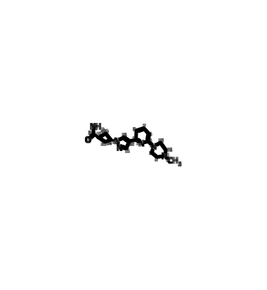 CN1CCN(c2cccc(-c3cnn([C@H]4C[C@H](C(N)=O)C4)c3)n2)CC1